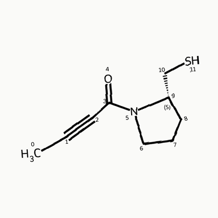 CC#CC(=O)N1CCC[C@H]1CS